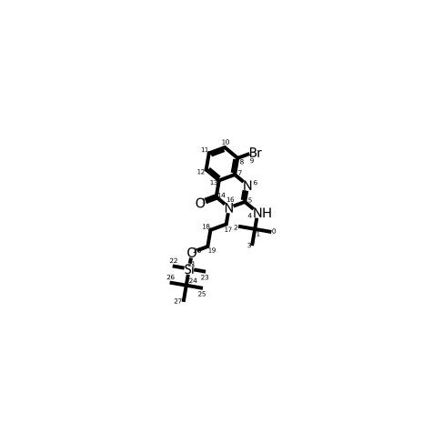 CC(C)(C)Nc1nc2c(Br)cccc2c(=O)n1CCCO[Si](C)(C)C(C)(C)C